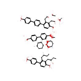 CC(=O)O[C@@H](C)Cc1c(C(=O)O)ccc(-c2ccc(-c3ccc(C(=O)O)cc3)cc2)c1C[C@H](C)OC(C)=O.CC(C)[C@@H]1CC[C@@H](C)C[C@H]1c1c(C(=O)O)ccc(-c2ccc(C(=O)O)cc2)c1[C@@H]1C[C@H](C)CC[C@H]1C(C)C.CC[C@H](C)Cc1c(C(=O)O)ccc(-c2ccc(C(=O)O)cc2)c1C[C@@H](C)CC